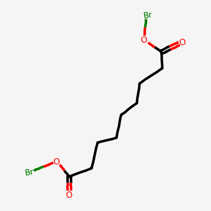 O=C(CCCCCCCC(=O)OBr)OBr